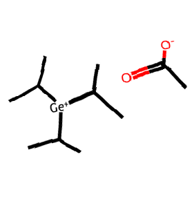 CC(=O)[O-].C[CH](C)[Ge+]([CH](C)C)[CH](C)C